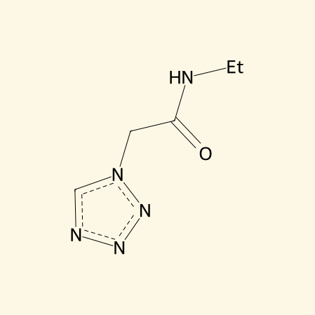 [CH2]CNC(=O)Cn1cnnn1